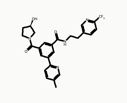 Cc1ccc(-c2cc(C(=O)NCCc3ccc(C(F)(F)F)nc3)cc(C(=O)N3CC[C@@H](O)C3)c2)nc1